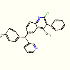 Cc1c(-c2ccccc2)c(Cl)nc2ccc(C(c3ccc(C(F)(F)F)cc3)c3cccnc3)cc12